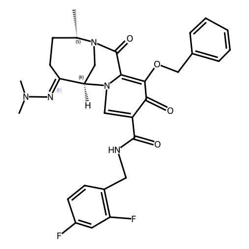 C[C@H]1CC/C(=N\N(C)C)[C@H]2CN1C(=O)c1c(OCc3ccccc3)c(=O)c(C(=O)NCc3ccc(F)cc3F)cn12